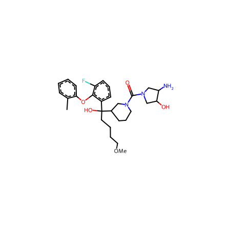 COCCCCC(O)(c1cccc(F)c1Oc1ccccc1C)C1CCCN(C(=O)N2CC(N)C(O)C2)C1